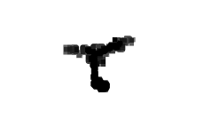 CCCc1nc(CCCCCOC(C(=O)NCCCCCc2ccc3ccccc3c2)C(OCC(=O)O)C(=O)O)co1